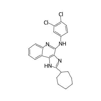 Clc1ccc(Nc2nc3ccccc3c3[nH]c(C4CCCCCC4)nc23)cc1Cl